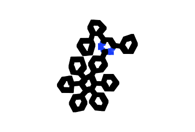 C1=CCC(c2c(-c3ccccc3)c(-c3ccccc3)c(-c3ccccc3)c(-c3ccc(-c4nc(-c5ccccc5)cc(-c5ccccc5-c5ccccc5)n4)cc3)c2-c2ccccc2)C=C1